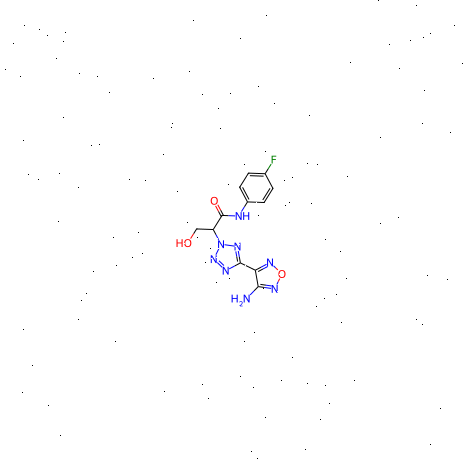 Nc1nonc1-c1nnn(C(CO)C(=O)Nc2ccc(F)cc2)n1